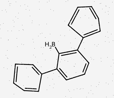 Bc1c(-c2ccccc2)cccc1-c1ccccc1